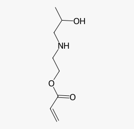 C=CC(=O)OCCNCC(C)O